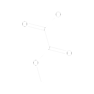 [CH2]OC(=O)C([O])=O